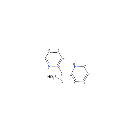 CS(=O)(=O)O.c1ccc(Cc2ccccn2)nc1